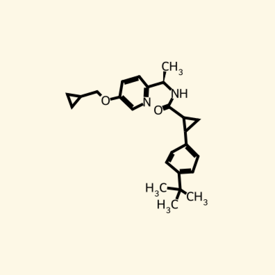 C[C@@H](NC(=O)C1CC1c1ccc(C(C)(C)C)cc1)c1ccc(OCC2CC2)cn1